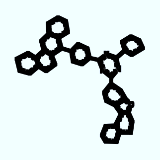 c1ccc(-c2nc(-c3ccc(-c4c5ccccc5cc5c4ccc4ccccc45)cc3)nc(-c3ccc4c(c3)oc3ccc5ccccc5c34)n2)cc1